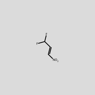 O=[N+]([O-])C=CC(F)F